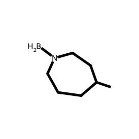 BN1CCCC(C)CC1